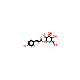 O=C(/C=C/c1ccc(O)cc1)OC1OC(CO)C(O)C(O)C1O